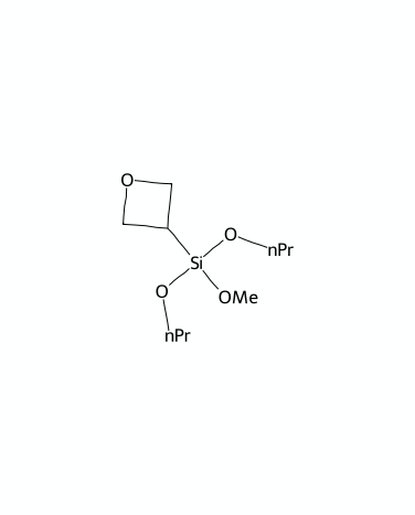 CCCO[Si](OC)(OCCC)C1COC1